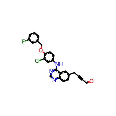 O=CC#CCc1ccc2ncnc(Nc3ccc(OCc4cccc(F)c4)c(Cl)c3)c2c1